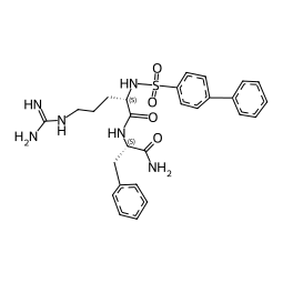 N=C(N)NCCC[C@H](NS(=O)(=O)c1ccc(-c2ccccc2)cc1)C(=O)N[C@@H](Cc1ccccc1)C(N)=O